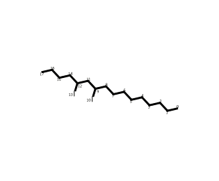 CCCCCCCCCC(I)CC(I)CCCC